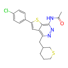 CC(=O)Nc1nnc(CC2CCCSC2)c2cc(-c3ccc(Cl)cc3)sc12